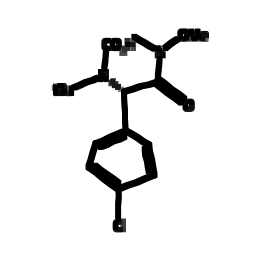 CON(C)C(=O)[C@H](c1ccc(Cl)cc1)N(C(=O)O)C(C)(C)C